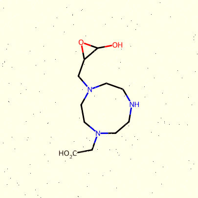 O=C(O)CN1CCNCCN(CC2OC2O)CC1